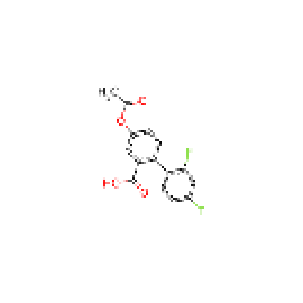 CC(=O)Oc1ccc(-c2ccc(F)cc2F)c(C(=O)O)c1